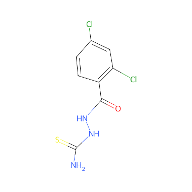 NC(=S)NNC(=O)c1ccc(Cl)cc1Cl